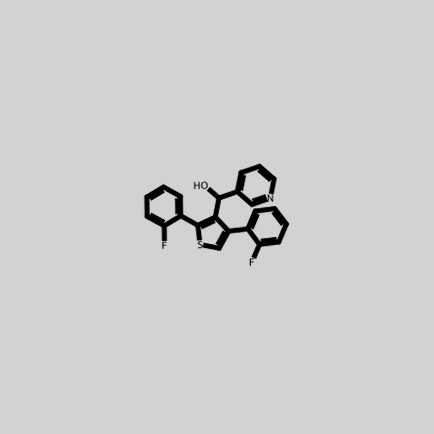 OC(c1cccnc1)c1c(-c2ccccc2F)csc1-c1ccccc1F